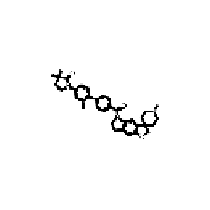 Cc1cc(N2CCC(C)(C)C2=O)ccc1-c1ccc(C(=O)N2CCc3cc4c(cc32)C2(CCN(C)CC2)CO4)cc1